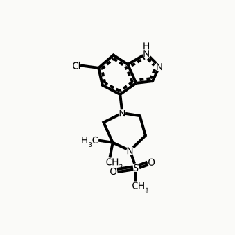 CC1(C)CN(c2cc(Cl)cc3[nH]ncc23)CCN1S(C)(=O)=O